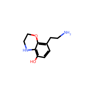 NCCc1ccc(O)c2c1OCCN2